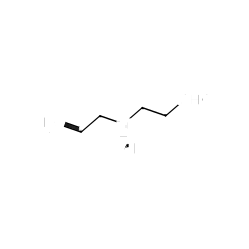 C=CC[SiH](Cl)CCC=O